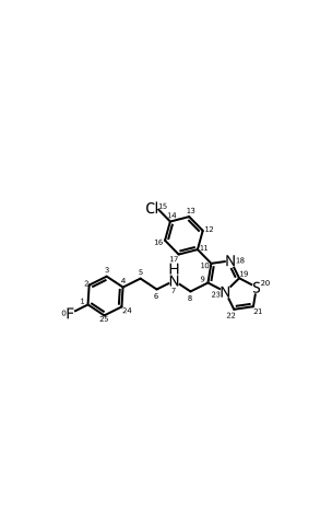 Fc1ccc(CCNCc2c(-c3ccc(Cl)cc3)nc3sccn23)cc1